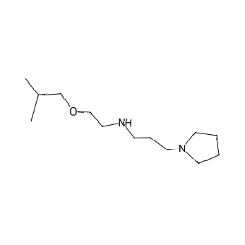 CC(C)COCCNCCCN1CCCC1